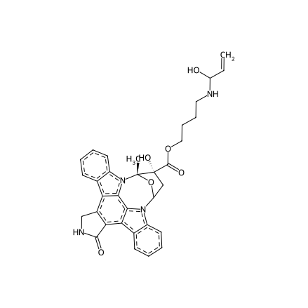 C=CC(O)NCCCCOC(=O)[C@@]1(O)CC2O[C@]1(C)n1c3ccccc3c3c4c(c5c6ccccc6n2c5c31)C(=O)NC4